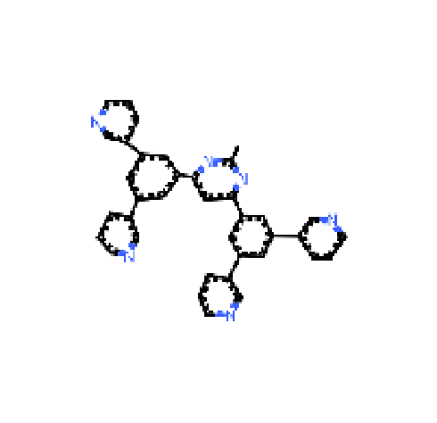 Cc1nc(-c2cc(-c3cccnc3)cc(-c3cccnc3)c2)cc(-c2cc(-c3cccnc3)cc(-c3cccnc3)c2)n1